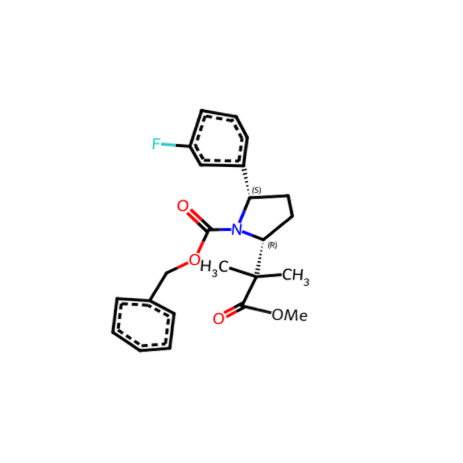 COC(=O)C(C)(C)[C@H]1CC[C@@H](c2cccc(F)c2)N1C(=O)OCc1ccccc1